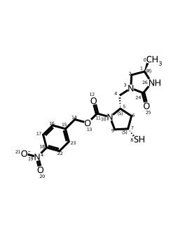 C[C@@H]1CN(C[C@@H]2C[C@H](S)CN2C(=O)OCc2ccc([N+](=O)[O-])cc2)C(=O)N1